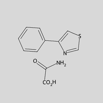 NC(=O)C(=O)O.c1ccc(-c2cscn2)cc1